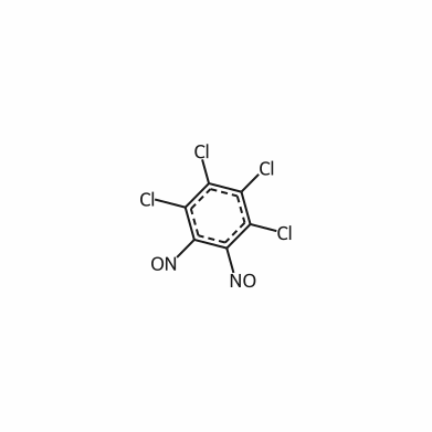 O=Nc1c(Cl)c(Cl)c(Cl)c(Cl)c1N=O